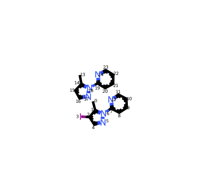 Cc1c(I)cnn1-c1ccccn1.Cc1ccnn1-c1ccccn1